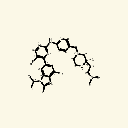 Cc1nc2c(F)cc(-c3nc(Nc4ccc(CN5CCO[C@](C)(CCN(C)C)C5)cn4)ncc3F)cc2n1C(C)C